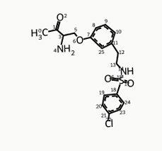 CC(=O)C(N)COc1cccc(CCNS(=O)(=O)c2ccc(Cl)cc2)c1